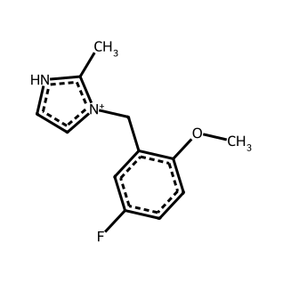 COc1ccc(F)cc1C[n+]1cc[nH]c1C